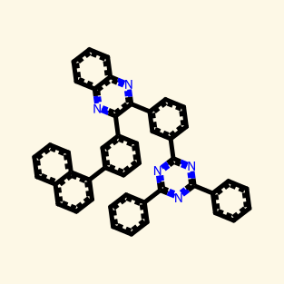 c1ccc(-c2nc(-c3ccccc3)nc(-c3cccc(-c4nc5ccccc5nc4-c4cccc(-c5cccc6ccccc56)c4)c3)n2)cc1